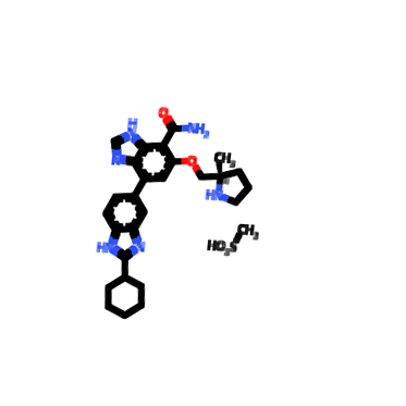 CS(=O)(=O)O.C[C@@]1(COc2cc(-c3ccc4[nH]c(C5CCCCC5)nc4c3)c3nc[nH]c3c2C(N)=O)CCCN1